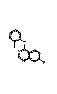 Cc1ccccc1Oc1ncnc2cc(Br)ccc12